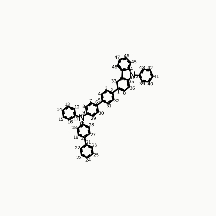 C1=C(c2ccc(-c3ccc(N(c4ccccc4)c4ccc(-c5ccccc5)cc4)cc3)cc2)CC2C(=C1)N(c1ccccc1)c1ccccc12